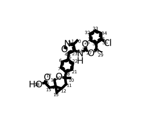 Cc1noc(-c2ccc(C3(C)CC4CC4(CC(=O)O)CO3)cc2)c1NC(=O)O[C@H](C)c1ccccc1Cl